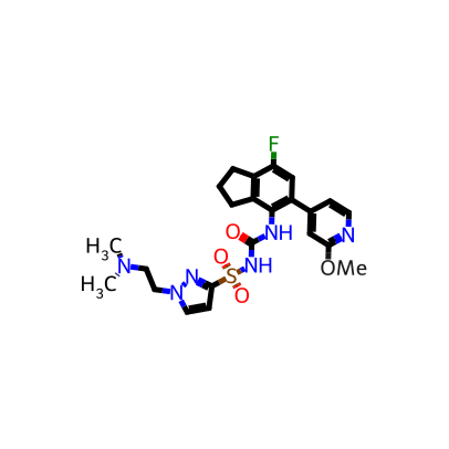 COc1cc(-c2cc(F)c3c(c2NC(=O)NS(=O)(=O)c2ccn(CCN(C)C)n2)CCC3)ccn1